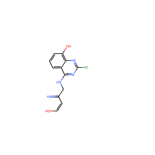 N=C(/C=C\O)CNc1nc(Cl)nc2c(O)cccc12